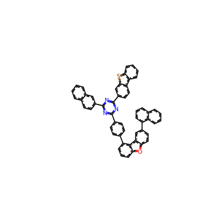 c1ccc2cc(-c3nc(-c4ccc(-c5cccc6oc7ccc(-c8cccc9ccccc89)cc7c56)cc4)nc(-c4ccc5c(c4)sc4ccccc45)n3)ccc2c1